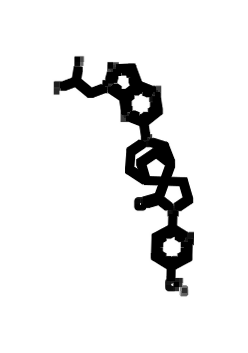 O=C1N(c2ccc(C(F)(F)F)cn2)CCC12C1CCC2CN(c2cnc3cnn(CC(F)F)c3n2)CC1